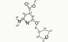 COC(=O)c1cc(OCC2CCOCC2)nc(N(C)C)c1